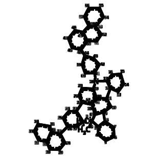 CC1(C)c2ccccc2-c2cc(-c3ccccc3N(c3ccc(-c4ccc(-c5cccc6ccccc56)cc4)cc3)c3ccc(-c4cccc5c4ccc4ccccc45)cc3)ccc21